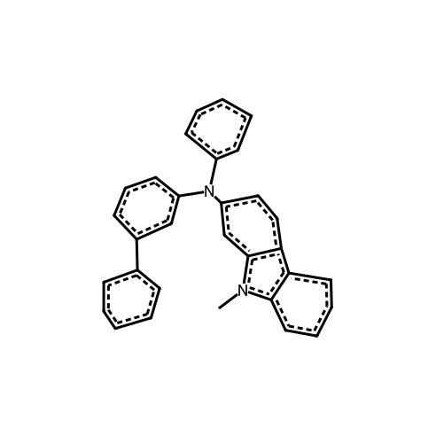 Cn1c2ccccc2c2ccc(N(c3ccccc3)c3cccc(-c4ccccc4)c3)cc21